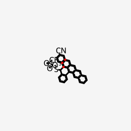 N#Cc1ccc(CC(SOS(=O)(=O)C(F)(F)F)c2ccccc2-c2c3ccccc3cc3cc4ccccc4cc23)cc1